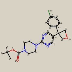 CC(C)(C)OC(=O)N1CCN(c2ncc(C3(c4ccc(F)cc4)COC3)cn2)CC1